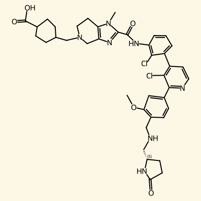 COc1cc(-c2nccc(-c3cccc(NC(=O)c4nc5c(n4C)CCN(CC4CCC(C(=O)O)CC4)C5)c3Cl)c2Cl)ccc1CNC[C@@H]1CCC(=O)N1